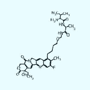 CC[C@@]1(O)C(=O)OCc2c1cc1n(c2=O)Cc2cc3c(CCCCOCNC(=O)[C@H](C)NC(=O)C(N)C(C)C)c(C)c(F)cc3nc2-1